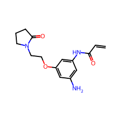 C=CC(=O)Nc1cc(N)cc(OCCN2CCCC2=O)c1